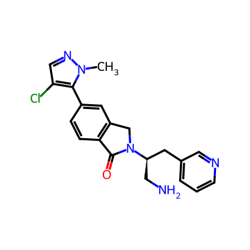 Cn1ncc(Cl)c1-c1ccc2c(c1)CN([C@H](CN)Cc1cccnc1)C2=O